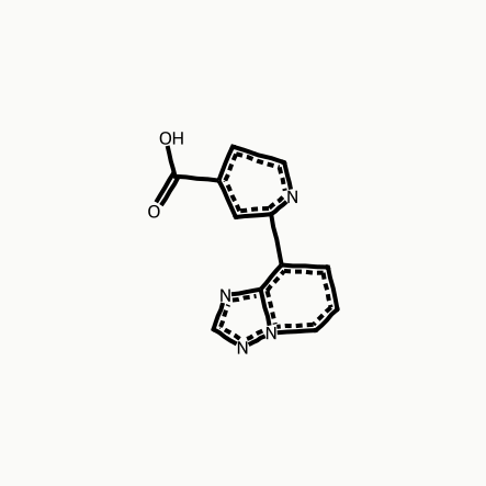 O=C(O)c1ccnc(-c2cccn3ncnc23)c1